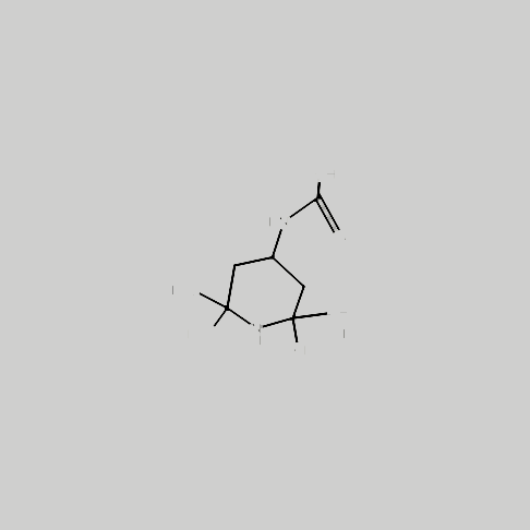 CC1(C)CC(NC(=O)O)CC(C)(C)N1.Cl